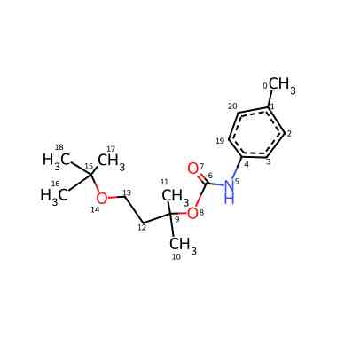 Cc1ccc(NC(=O)OC(C)(C)CCOC(C)(C)C)cc1